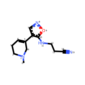 CN1CCC=C(c2cnoc2NCCC#N)C1